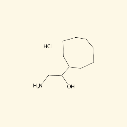 Cl.NCC(O)C1CCCCCCC1